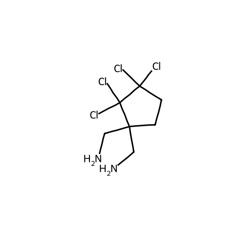 NCC1(CN)CCC(Cl)(Cl)C1(Cl)Cl